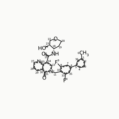 Cc1cccc(-c2cc(F)c(Cn3cc(C(=O)N[C@H]4CCOC[C@@H]4O)c4ncccc4c3=O)c(F)c2)c1